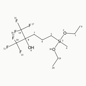 CCO[Si](C)(CCCC(O)(C(F)(F)F)C(F)(F)F)OCC